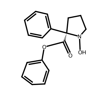 O=C(Oc1ccccc1)[C@]1(c2ccccc2)CCCN1O